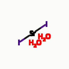 O.O.[I][Sr][I]